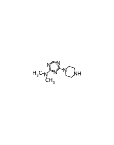 CN(C)c1ncnc(N2CCNCC2)n1